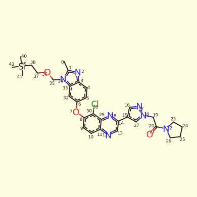 Cc1nc2ccc(Oc3ccc4ncc(-c5cnn(CC(=O)N6CCCC6)c5)nc4c3Cl)cc2n1COCC[Si](C)(C)C